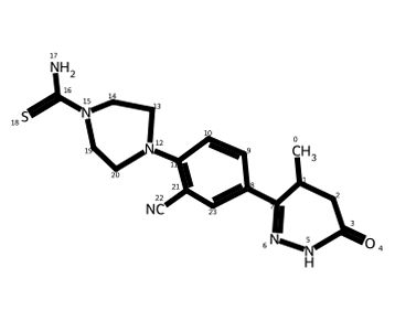 CC1CC(=O)NN=C1c1ccc(N2CCN(C(N)=S)CC2)c(C#N)c1